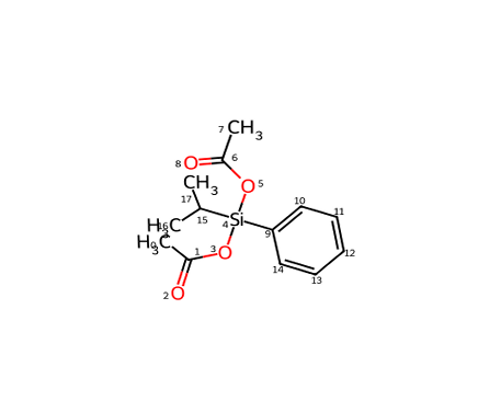 CC(=O)O[Si](OC(C)=O)(c1ccccc1)C(C)C